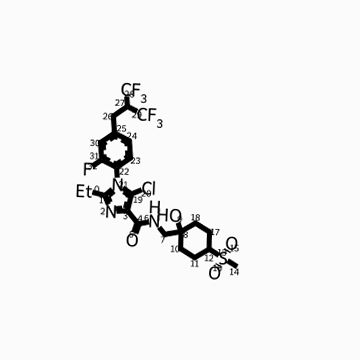 CCc1nc(C(=O)NCC2(O)CCC(S(C)(=O)=O)CC2)c(Cl)n1-c1ccc(CC(C(F)(F)F)C(F)(F)F)cc1F